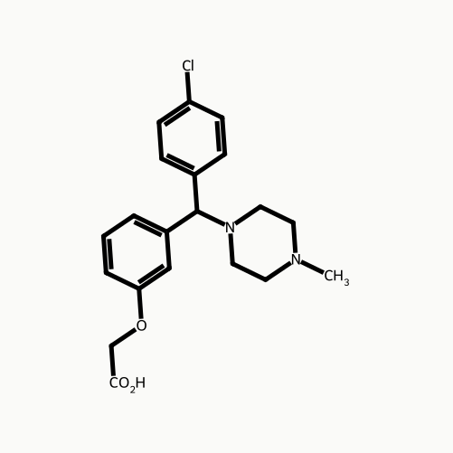 CN1CCN(C(c2ccc(Cl)cc2)c2cccc(OCC(=O)O)c2)CC1